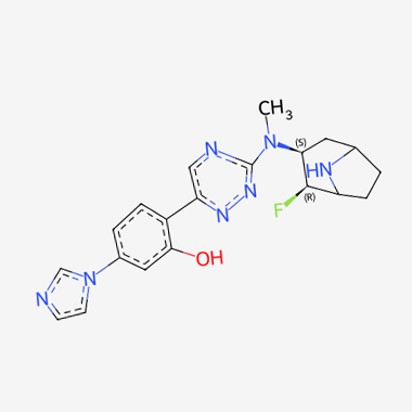 CN(c1ncc(-c2ccc(-n3ccnc3)cc2O)nn1)[C@H]1CC2CCC(N2)[C@H]1F